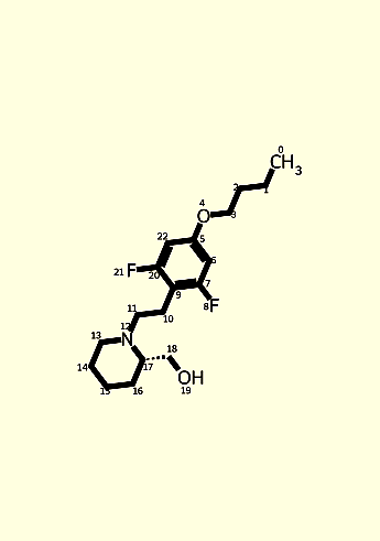 CCCCOc1cc(F)c(CCN2CCCC[C@H]2CO)c(F)c1